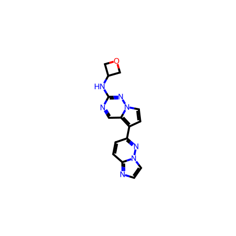 c1cn2nc(-c3ccn4nc(NC5COC5)ncc34)ccc2n1